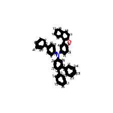 c1ccc(-c2ccc(N(c3ccc(-c4ccccc4)c(-c4ccccc4)c3)c3ccc4oc5ccc6ccccc6c5c4c3)cc2)cc1